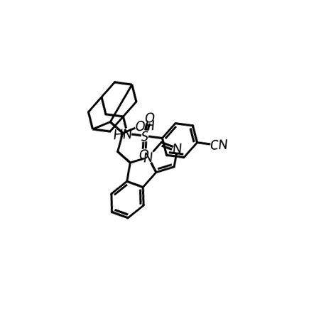 N#Cc1ccc(S(=O)(=O)NC23CC4CC(C2)C(C(O)CC2c5ccccc5-c5cncn52)C(C4)C3)cc1